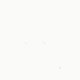 O=c1c2c(Cl)cccc2ncn1C1CC1O